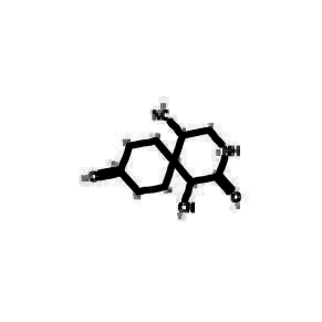 N#CC1CNC(=O)C(C#N)C12CCC(=O)CC2